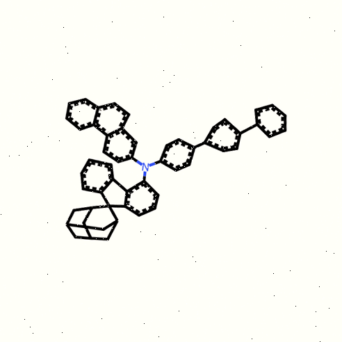 c1ccc(-c2ccc(-c3ccc(N(c4ccc5c(ccc6ccccc65)c4)c4cccc5c4-c4ccccc4C54C5CC6CC(C5)CC4C6)cc3)cc2)cc1